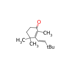 CC1=C(/C=C/C(C)(C)C)C(C)(C)CCC1=O